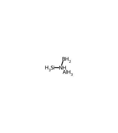 BN[SiH3].[AlH3]